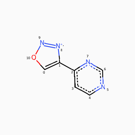 C1=C(c2ccncn2)[N+]=NO1